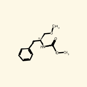 COC[C@H](Cc1ccccc1)NC(=O)OC